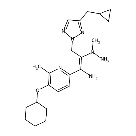 Cc1nc(/C(N)=C(\Cn2ncc(CC3CC3)n2)N(C)N)ccc1OC1CCCCC1